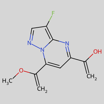 C=C(O)c1cc(C(=C)OC)n2ncc(F)c2n1